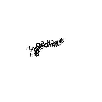 NC(=O)c1cccc(S(=O)(=O)c2ccc(NCCCN(Cc3cncs3)C3CC3)c([N+](=O)[O-])c2)c1Oc1cnc2[nH]ccc2c1